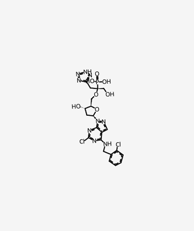 O=P(O)(O)[C@@](CO)(Cc1nn[nH]n1)OC[C@H]1O[C@@H](n2ncc3c(NCc4ccccc4Cl)nc(Cl)nc32)C[C@@H]1O